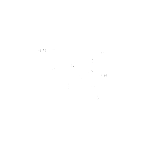 CC(C)C1(CC(N)=O)NC(=O)CN1C(=O)CN